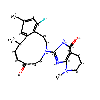 Cc1cc(F)c2c(c1)C(C)CCC(=O)CCN(c1nc3c(c(=O)[nH]1)CCCN3C)CC2